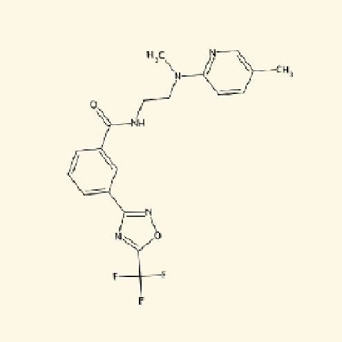 Cc1ccc(N(C)CCNC(=O)c2cccc(-c3noc(C(F)(F)F)n3)c2)nc1